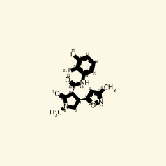 Cc1cc([C@H]2CN(C)C(=O)[C@@H]2C(=O)Nc2cccc(F)c2F)on1